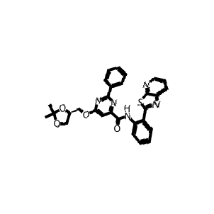 CC1(C)OC[C@H](COc2cc(C(=O)Nc3ccccc3-c3nc4cccnc4s3)nc(-c3ccccc3)n2)O1